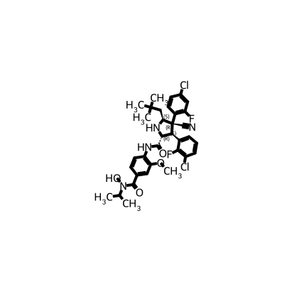 COc1cc(C(=O)N(O)C(C)C)ccc1NC(=O)[C@@H]1N[C@@H](CC(C)(C)C)[C@](C#N)(c2ccc(Cl)cc2F)[C@H]1c1cccc(Cl)c1F